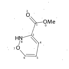 COC(=O)C1=CC=CON1